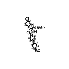 COc1nc2cc(Cl)ccc2nc1NC(=O)N1CCN(c2ccc(C(C)=O)cc2)CC1